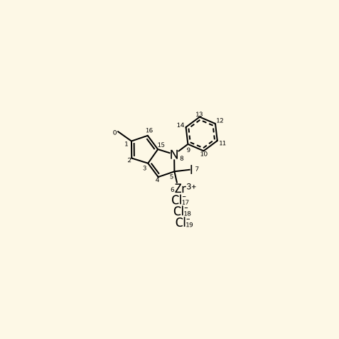 CC1=CC2=C[C]([Zr+3])(I)N(c3ccccc3)C2=C1.[Cl-].[Cl-].[Cl-]